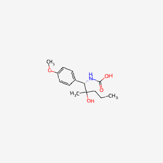 CCCC(C)(O)[C@@H](NC(=O)O)c1ccc(OC)cc1